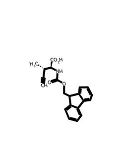 C#C[C@H](C)[C@H](NC(=O)OCC1c2ccccc2-c2ccccc21)C(=O)O